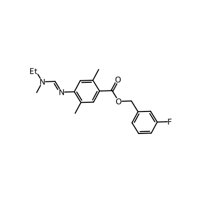 CCN(C)/C=N/c1cc(C)c(C(=O)OCc2cccc(F)c2)cc1C